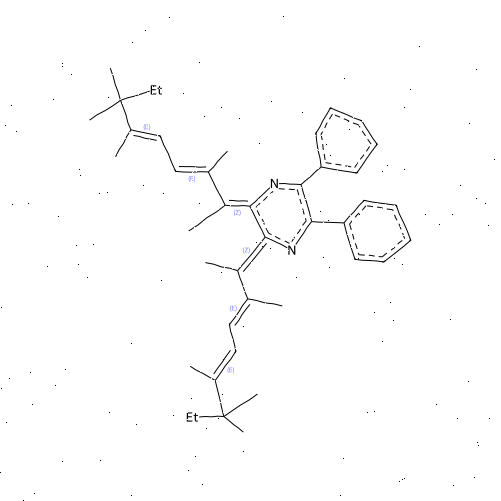 CCC(C)(C)/C(C)=C/C=C(C)/C(C)=c1\nc(-c2ccccc2)c(-c2ccccc2)n\c1=C(C)/C(C)=C/C=C(\C)C(C)(C)CC